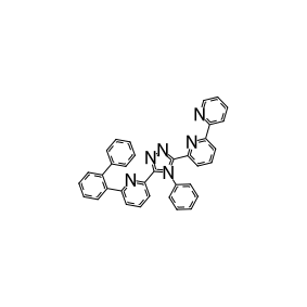 c1ccc(-c2ccccc2-c2cccc(-c3nnc(-c4cccc(-c5ccccn5)n4)n3-c3ccccc3)n2)cc1